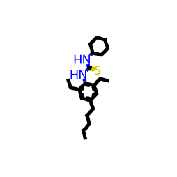 CCCCCc1cc(CC)c(NC(=S)NC2CCCCC2)c(CC)c1